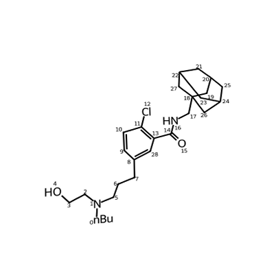 CCCCN(CCO)CCCc1ccc(Cl)c(C(=O)NCC23CC4CC(CC(C4)C2)C3)c1